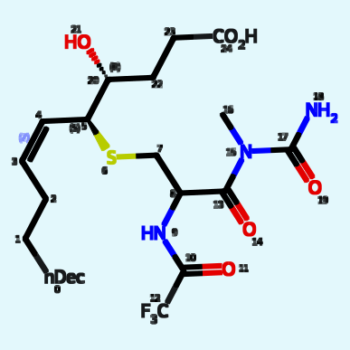 CCCCCCCCCCCC/C=C\[C@H](SCC(NC(=O)C(F)(F)F)C(=O)N(C)C(N)=O)[C@H](O)CCC(=O)O